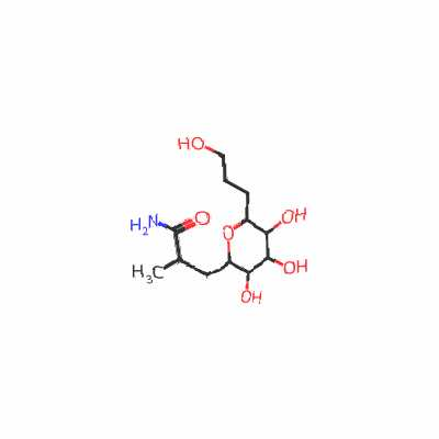 CC([CH]C1OC(CCCO)C(O)C(O)C1O)C(N)=O